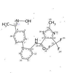 C/C(=N/O)c1ccc(-c2ccccc2NC(=O)c2sc(C)nc2C(F)(F)F)cc1